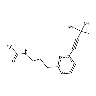 CCCC(C)(O)C#Cc1cccc(CCCNC(=O)C(F)(F)F)c1